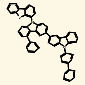 c1ccc(-c2ccc(-n3c4ccccc4c4cc(-c5ccc6c(c5)c5c(-c7ccccc7)cccc5n6-c5cccc6c5sc5ccccc56)ccc43)cc2)cc1